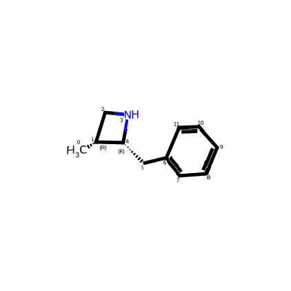 C[C@@H]1CN[C@@H]1Cc1ccccc1